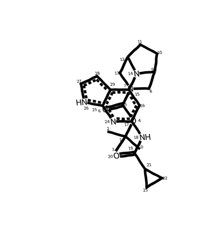 CC(C)(C)OC(=O)N1CC2CCC(C1)N2c1cc(NC(=O)C2CC2)nc2[nH]ccc12